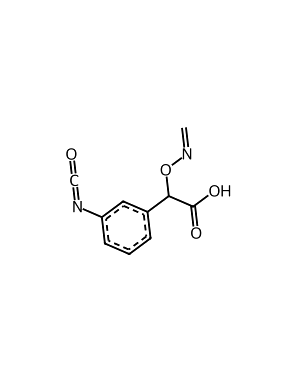 C=NOC(C(=O)O)c1cccc(N=C=O)c1